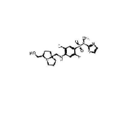 CN(c1nccs1)S(=O)(=O)c1cc(Cl)c(NCC23CCCN2C(CO)CC3)cc1F